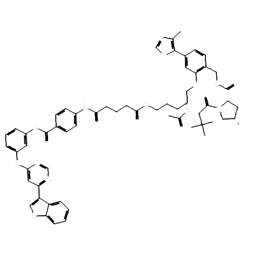 CC(=O)N[C@H](C(=O)N1C[C@H](O)C[C@H]1C(=O)N[C@@H](C)c1ccc(-c2scnc2C)cc1OCCCCCNC(=O)CCCC(=O)Nc1ccc(C(=O)Nc2cccc(Nc3cc(-c4c[nH]c5ccccc45)ncn3)c2)cc1)C(C)(C)C